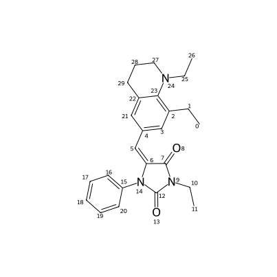 CCc1cc(/C=C2\C(=O)N(CC)C(=O)N2c2ccccc2)cc2c1N(CC)CCC2